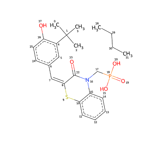 CC(C)(C)c1cc(/C=C2/Sc3ccccc3N(CP(=O)(O)O)C2=O)ccc1O.CCCC